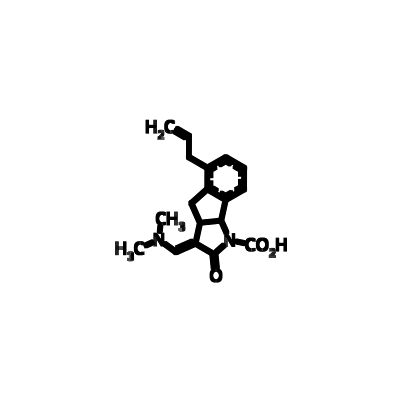 C=CCc1cccc2c1CC1C(=CN(C)C)C(=O)N(C(=O)O)C21